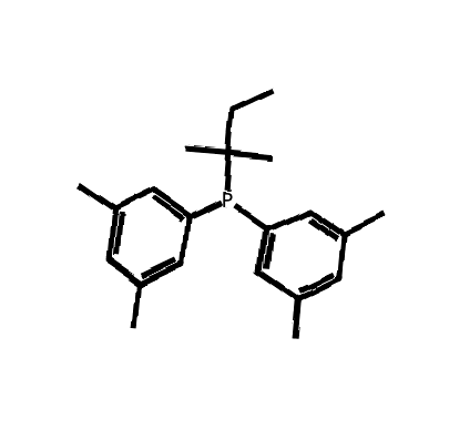 CCC(C)(C)P(c1cc(C)cc(C)c1)c1cc(C)cc(C)c1